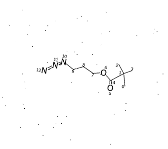 CC(C)(C)C(=O)OCCCN=[N+]=[N-]